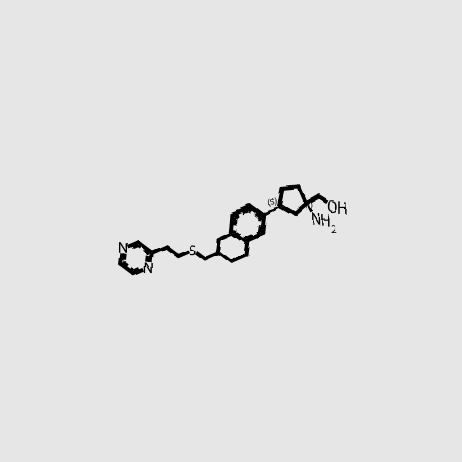 N[C@]1(CO)CC[C@H](c2ccc3c(c2)CCC(CSCCc2cnccn2)C3)C1